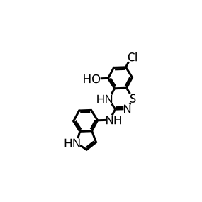 Oc1cc(Cl)cc2c1NC(Nc1cccc3[nH]ccc13)=NS2